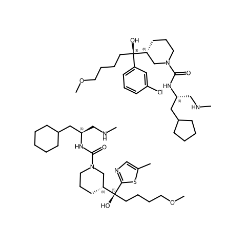 CNC[C@H](CC1CCCC1)NC(=O)N1CCC[C@@H]([C@@](O)(CCCCOC)c2cccc(Cl)c2)C1.CNC[C@H](CC1CCCCC1)NC(=O)N1CCC[C@@H]([C@@](O)(CCCCOC)c2ncc(C)s2)C1